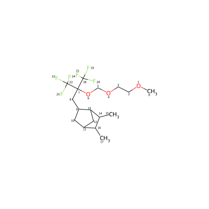 COCCOCOC(CC1CC2CC1C(C)C2C)(C(F)(F)F)C(F)(F)F